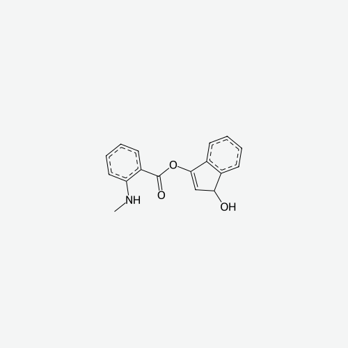 CNc1ccccc1C(=O)OC1=CC(O)c2ccccc21